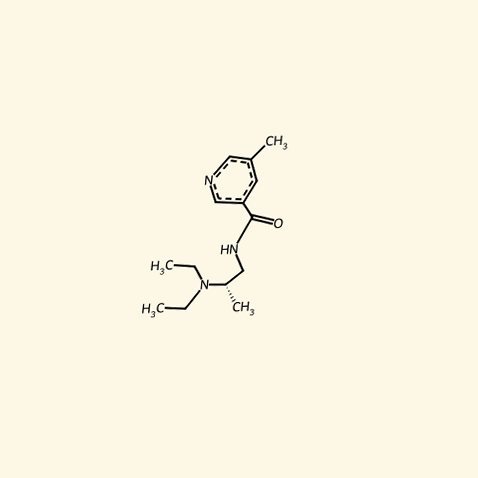 CCN(CC)[C@@H](C)CNC(=O)c1cncc(C)c1